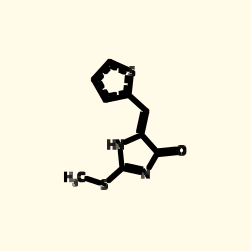 CSC1=NC(=O)/C(=C/c2cccs2)N1